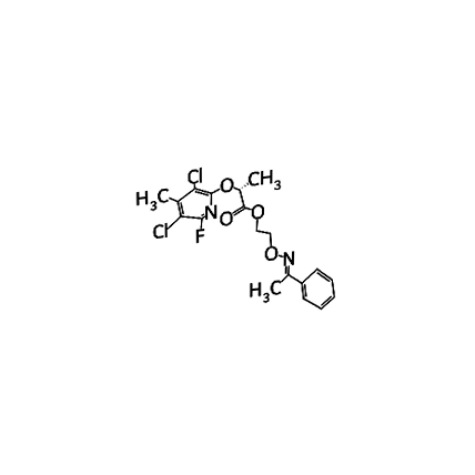 C/C(=N\OCCOC(=O)[C@@H](C)Oc1nc(F)c(Cl)c(C)c1Cl)c1ccccc1